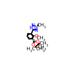 COc1c(B2OC(C)(C)C(C)(C)O2)cccc1-c1nnn(C)n1